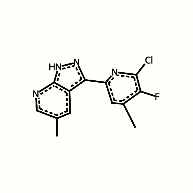 Cc1cnc2[nH]nc(-c3cc(C)c(F)c(Cl)n3)c2c1